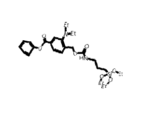 CCO[Si](CCCNC(=O)OCc1ccc(C(=O)Oc2ccccc2)cc1N(CC)CC)(OCC)OCC